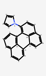 c1cc2cccc3c4c(-n5cccc5)ccc5cccc(c(c1)c23)c54